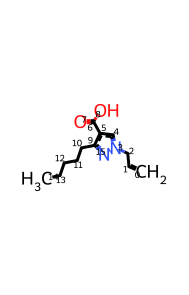 C=CCn1cc(C(=O)O)c(CCCCC)n1